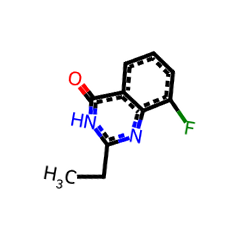 CCc1nc2c(F)cccc2c(=O)[nH]1